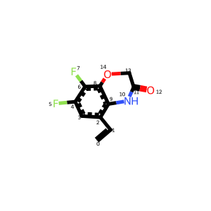 C=Cc1cc(F)c(F)c2c1NC(=O)CO2